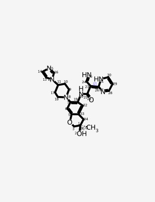 C[C@]1(O)COc2cc(N3CCC(n4ccnc4)CC3)c(NC(=O)/C(C=N)=C3\N=CC=CN3)cc2C1